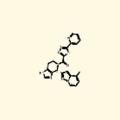 Cc1cccn2nc([C@@H]3c4nc[nH]c4CCN3C(=O)c3nnc(-c4ccccn4)o3)cc12